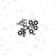 O=C(O)N[C@H](CO)CCN1[C@H](COC(c2ccccc2)(c2ccccc2)c2ccccc2)[C@H](c2ccc(Br)cc2)[C@@H]1CNS(=O)(=O)c1ccccc1[N+](=O)[O-]